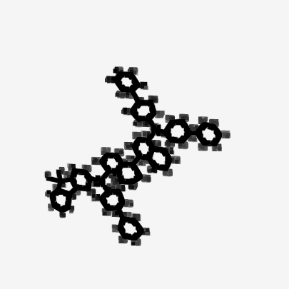 CC1(C)c2ccccc2-c2cc(N(c3ccc(-c4ccccc4)cc3)c3cccc4c(-c5ccc(N(c6ccc(-c7ccccc7)cc6)c6ccc(-c7ccccc7)cc6)c6ccccc56)cccc34)ccc21